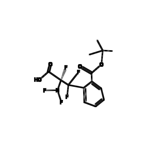 CC(C)(C)OC(=O)c1ccccc1C(F)(F)[C@](F)(C(=O)O)N(F)F